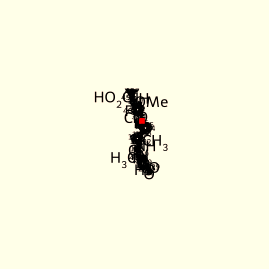 COc1cc(OC2CCc3c(-c4cccc(NC(=O)c5nc6c(n5C)CCN([SH](=O)=O)C6)c4C)cccc32)c(Cl)c(F)c1CNC1(C(=O)O)CC1